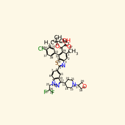 Cc1cc2nc(-c3ccc4c(c3)c(C3CCN(C5COC5)CC3)nn4CC(F)F)sc2c(-c2ccc(Cl)cc2)c1C(OC(C)(C)C)C(=O)O